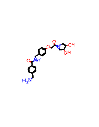 NCc1ccc(C(=O)NCc2ccc(OCC(=O)N3C[C@@H](O)[C@H](O)C3)cc2)cc1